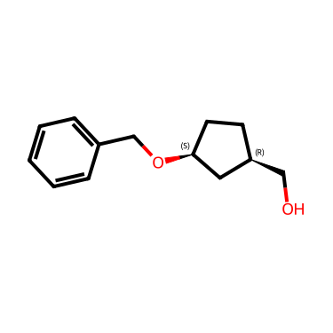 OC[C@@H]1CC[C@H](OCc2ccccc2)C1